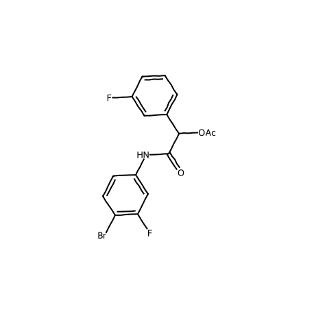 CC(=O)OC(C(=O)Nc1ccc(Br)c(F)c1)c1cccc(F)c1